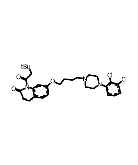 CC(C)(C)CC(=O)N1C(=O)CCc2ccc(OCCCCN3CCN(c4cccc(Cl)c4Cl)CC3)cc21